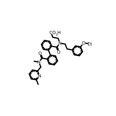 CCOc1cccc(CCN(CCC(=O)O)C(=O)c2ccccc2-c2ccccc2C(=O)N(C)Cc2cccc(C)n2)c1